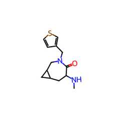 CNC1CC2CC2CN(Cc2ccsc2)C1=O